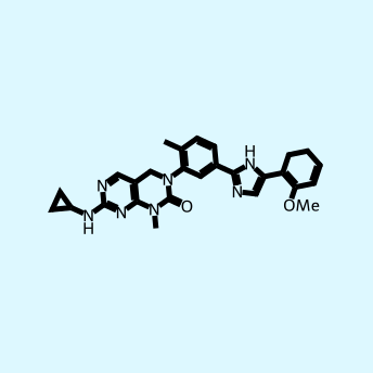 COC1=C(c2cnc(-c3ccc(C)c(N4Cc5cnc(NC6CC6)nc5N(C)C4=O)c3)[nH]2)CCC=C1